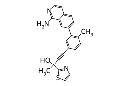 Cc1ccc(C#CC(C)(O)c2nccs2)cc1-c1ccc2ccnc(N)c2c1